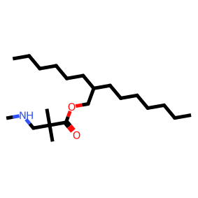 CCCCCCCC(CCCCCC)COC(=O)C(C)(C)CNC